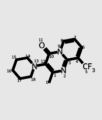 Cc1nc2c(C(F)(F)F)cccn2c(=O)c1N1CCCCC1